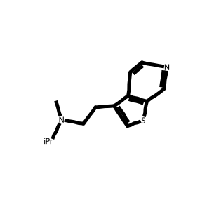 CC(C)N(C)CCc1csc2cnccc12